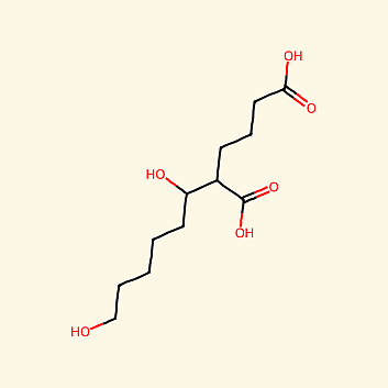 O=C(O)CCCC(C(=O)O)C(O)CCCCCO